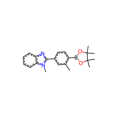 Cc1cc(-c2nc3ccccc3n2C)ccc1B1OC(C)(C)C(C)(C)O1